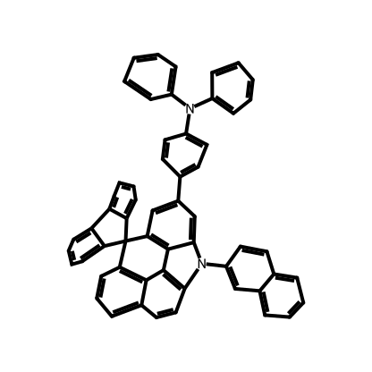 c1ccc(N(c2ccccc2)c2ccc(-c3cc4c5c6c7c(cccc7ccc6n(-c6ccc7ccccc7c6)c5c3)C43c4ccccc4-c4ccccc43)cc2)cc1